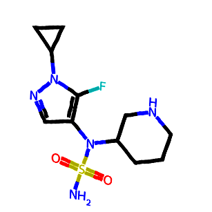 NS(=O)(=O)N(c1cnn(C2CC2)c1F)C1CCCNC1